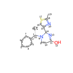 CC[C@@H](c1ccccc1)N1C=CC(O)=NC1c1csc(C)n1